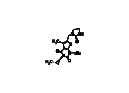 CCCCn1c(=O)n([C@H]2C[C@@H]2C)c(=O)c2c(C)c(CN3CCNC3=O)sc21